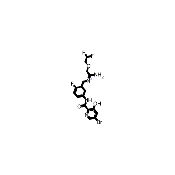 N/C(COCC(F)F)=N/CC1CC(NC(=O)c2ncc(Br)cc2O)=CC=C1F